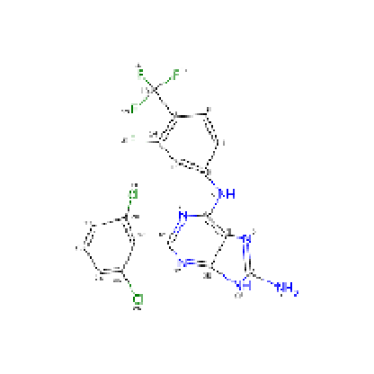 Nc1nc2c(Nc3ccc(C(F)(F)F)c(F)c3)nc(-c3c(Cl)cccc3Cl)nc2[nH]1